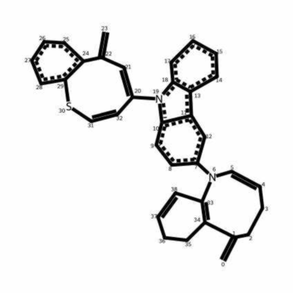 C=C1CC/C=C\N(c2ccc3c(c2)c2ccccc2n3C2=C/C(=C)c3ccccc3S/C=C\2)C2=C1CCC=C2